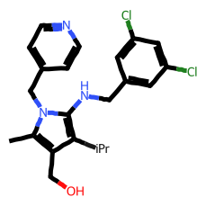 Cc1c(CO)c(C(C)C)c(NCc2cc(Cl)cc(Cl)c2)n1Cc1ccncc1